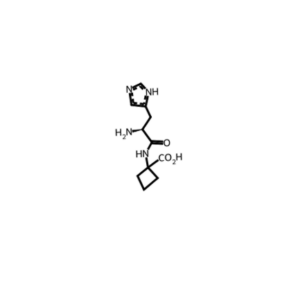 N[C@@H](Cc1cnc[nH]1)C(=O)NC1(C(=O)O)CCC1